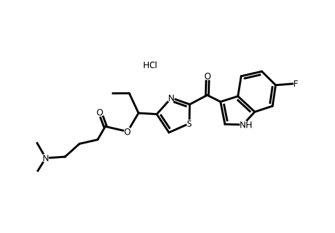 CCC(OC(=O)CCCN(C)C)c1csc(C(=O)c2c[nH]c3cc(F)ccc23)n1.Cl